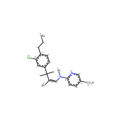 CC(=O)N(/C=C(/C(C)C)C(C)(C)c1ccc(CCC(C)(C)C)c(Cl)c1)c1ccc(C(=O)O)cn1